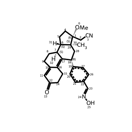 CO[C@@]1(CC#N)CC[C@H]2[C@@H]3CCC4=CC(=O)CCC4=C3[C@@H](c3ccc(C=NO)cc3)C[C@@]21C